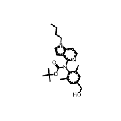 CCCCn1ccc2c(N(C(=O)OC(C)(C)C)c3c(C)cc(CO)cc3C)nccc21